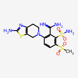 CS(=O)(=O)c1ccc(N2CCc3nc(N)sc3C2)c(C(=N)N)c1S(N)(=O)=O